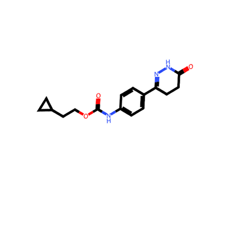 O=C1CCC(c2ccc(NC(=O)OCCC3CC3)cc2)=NN1